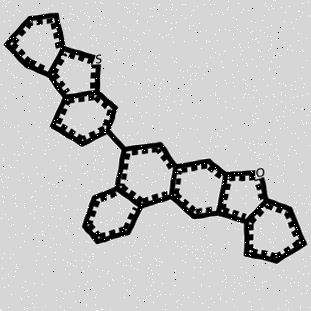 c1ccc2c(c1)oc1cc3cc(-c4ccc5c(c4)sc4ccccc45)c4ccccc4c3cc12